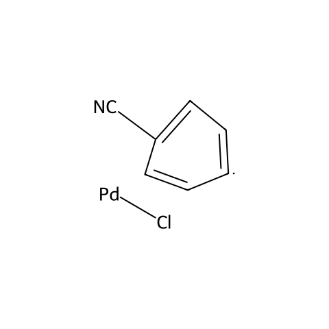 N#Cc1cc[c]cc1.[Cl][Pd]